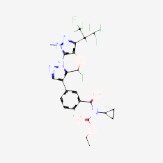 CCOC(=O)N(C(=O)c1cc(-c2cnn3c2C(F)Oc2c(C(F)(C(F)(F)F)C(F)(F)F)nn(C)c2-3)ccc1Cl)C1CC1